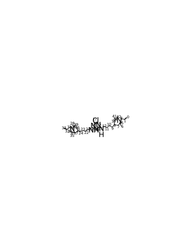 C=CCN1C(C)(C)CC(CCCCNc2nc(Cl)nc(NCCCCC3CC(C)(C)N(CC=C)C(C)(C)C3)n2)CC1(C)C